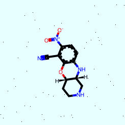 N#Cc1c([N+](=O)[O-])ccc2c1O[C@H]1CCNC[C@H]1N2